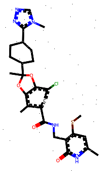 CSc1cc(C)[nH]c(=O)c1CNC(=O)c1cc(Cl)c2c(c1C)OC(C)(C1CCC(c3nncn3C)CC1)O2